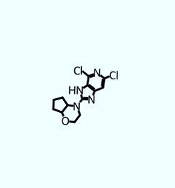 Clc1cc2nc(N3CCOC4CCCC43)[nH]c2c(Cl)n1